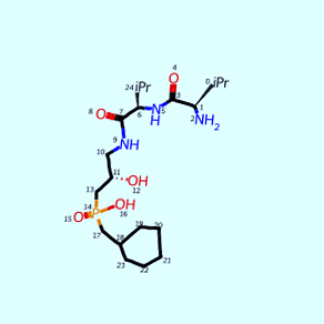 CC(C)[C@@H](N)C(=O)N[C@@H](C(=O)NC[C@H](O)CP(=O)(O)CC1CCCCC1)C(C)C